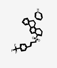 C1=CC=CNC=C1.O=S(=O)(CC=Cc1ccc(C(F)(F)F)cc1)C1=CCCc2c1ccc1c2CCc2ccccc2-1